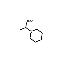 [CH2]OC(C)N1CCCCC1